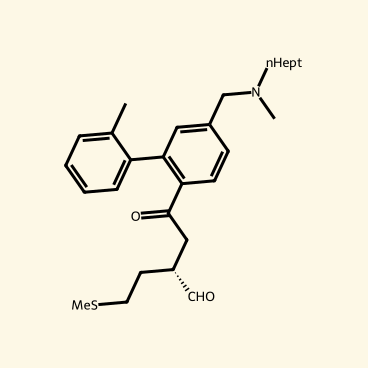 CCCCCCCN(C)Cc1ccc(C(=O)C[C@H](C=O)CCSC)c(-c2ccccc2C)c1